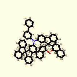 c1ccc(-c2cccc(N(c3ccc4c(c3)C3(c5ccccc5-c5ccccc53)c3ccccc3-4)c3ccc4c(c3)C3(c5ccccc5-4)c4ccc5ccccc5c4Oc4c3ccc3ccccc43)c2)cc1